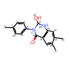 Cc1ccc(N2C(=O)c3cc(C)c(C)cc3NC2O)cc1